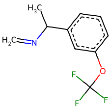 C=NC(C)c1cccc(OC(F)(F)F)c1